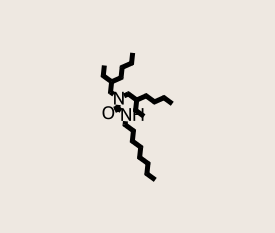 CCCCCCCCNC(=O)N(CC(CC)CCCC)CC(CC)CCCC